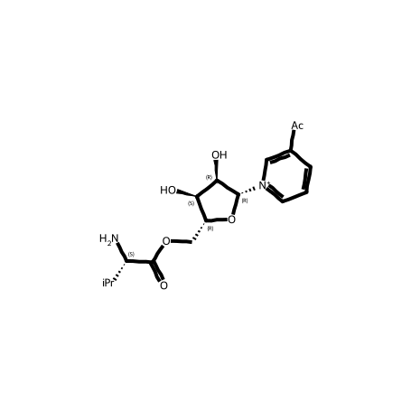 CC(=O)c1ccc[n+]([C@@H]2O[C@H](COC(=O)[C@@H](N)C(C)C)[C@@H](O)[C@H]2O)c1